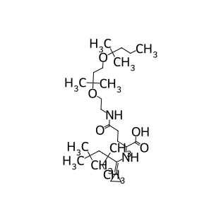 CCCC(C)(C)OCCC(C)(C)OCCNC(=O)CCC(NC(=C1CC1)C(C)(CC)CC(C)(C)C)C(=O)O